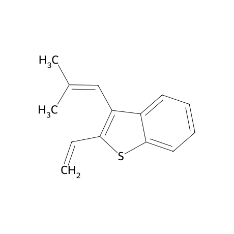 C=Cc1sc2ccccc2c1C=C(C)C